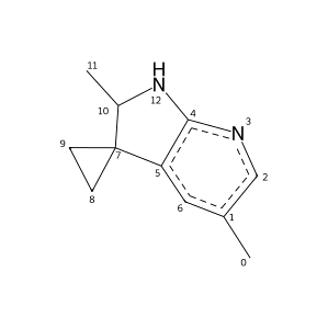 Cc1cnc2c(c1)C1(CC1)C(C)N2